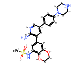 CCCS(=O)(=O)Nc1cc(-c2cc(-c3ccc(N4CCNCC4)cc3)cnc2N)cc2c1OCCO2